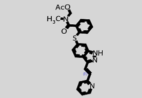 CC(=O)OCN(C)C(=O)c1ccccc1Sc1ccc2c(/C=C/c3ccccn3)n[nH]c2c1